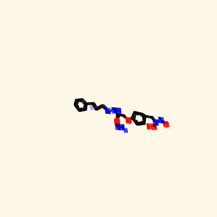 N.O=NN(O)Cc1ccc(OCC(=O)NN=C/C=C/c2ccccc2)cc1